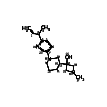 C=CC(C)c1ccc(N2CCC[C@H](C3(O)CN(C)C3)C2)cn1